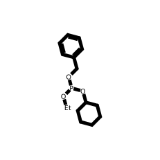 CCOP(OCc1ccccc1)OC1CCCCC1